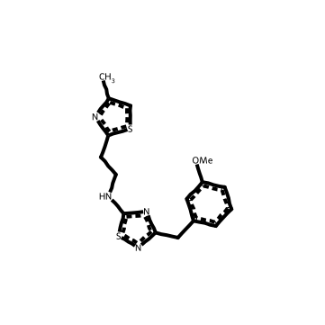 COc1cccc(Cc2nsc(NCCc3nc(C)cs3)n2)c1